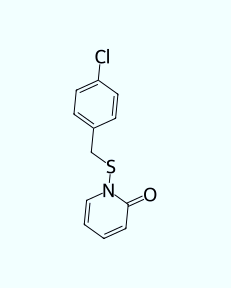 O=c1ccccn1SCc1ccc(Cl)cc1